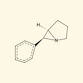 c1ccc([C@H]2[C@H]3CCCN32)cc1